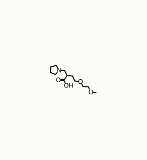 COCCOCCC(CN1CCCC1)C(=O)O